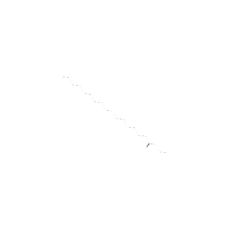 CCCCCCCCCOCCOCCCC(=O)OCC